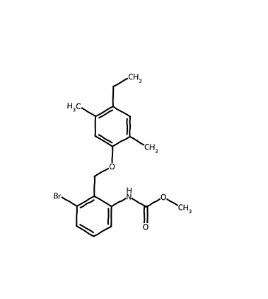 CCc1cc(C)c(OCc2c(Br)cccc2NC(=O)OC)cc1C